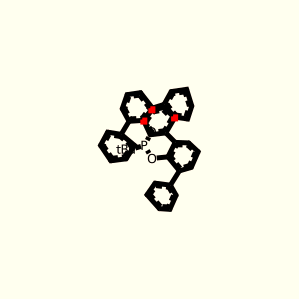 CC(C)(C)P(Oc1c(-c2ccccc2)cccc1-c1ccccc1)Oc1c(-c2ccccc2)cccc1-c1ccccc1